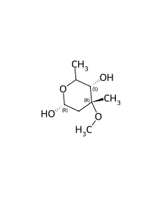 CO[C@]1(C)C[C@H](O)OC(C)[C@@H]1O